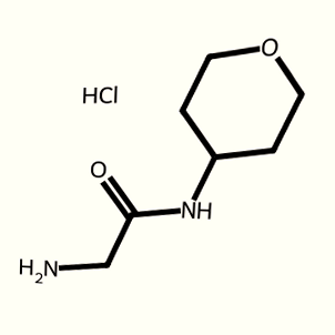 Cl.NCC(=O)NC1CCOCC1